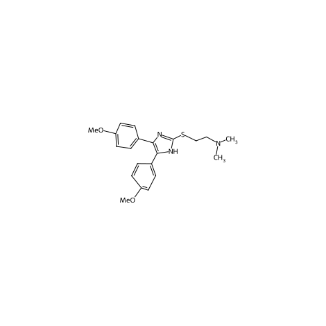 COc1ccc(-c2nc(SCCN(C)C)[nH]c2-c2ccc(OC)cc2)cc1